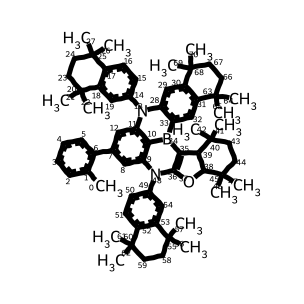 Cc1ccccc1-c1cc2c3c(c1)N(c1ccc4c(c1)C(C)(C)CCC4(C)C)c1cc4c(cc1B3C1=C(OC3C1C(C)(C)CCC3(C)C)N2c1ccc2c(c1)C(C)(C)CCC2(C)C)C(C)(C)CCC4(C)C